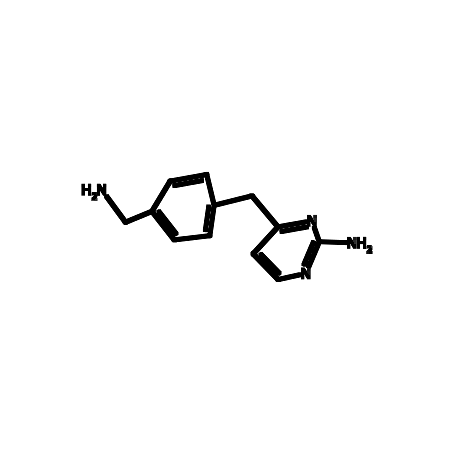 NCc1ccc(Cc2ccnc(N)n2)cc1